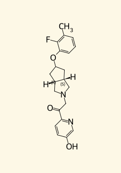 Cc1cccc(OC2C[C@@H]3CN(CC(=O)c4ccc(O)cn4)C[C@@H]3C2)c1F